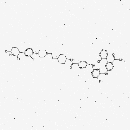 NC(=O)c1ccc(Nc2nc(Nc3ccc(C(=O)NC4CCC(CCN5CCN(c6ccc(C7CCC(=O)NC7=O)cc6F)CC5)CC4)cc3)ncc2F)cc1-c1ccccc1Cl